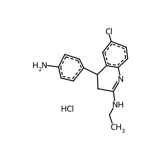 CCNC1=Nc2ccc(Cl)cc2C(c2ccc(N)cc2)C1.Cl